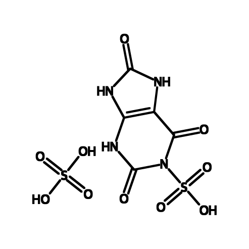 O=S(=O)(O)O.O=c1[nH]c2[nH]c(=O)n(S(=O)(=O)O)c(=O)c2[nH]1